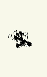 N=C(N)NCCCN(CCCNC(=N)N)c1nc(NCCc2ccccc2)nc(NCCc2ccccc2)n1